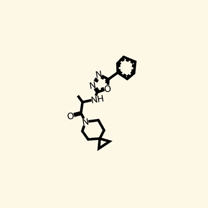 CC(Nc1nnc(-c2ccccc2)o1)C(=O)N1CCC2(CC1)CC2